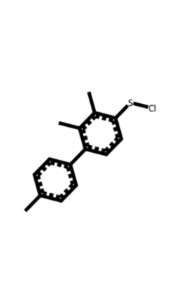 Cc1ccc(-c2ccc(SCl)c(C)c2C)cc1